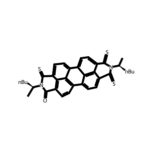 CCCC[C@H](C)N1C(=O)c2ccc3c4ccc5c6c(ccc(c7ccc(c2c37)C1=S)c64)C(=S)N([C@@H](C)CCCC)C5=S